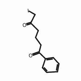 O=C(CI)CCCC(=O)c1ccccc1